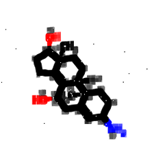 C[C@]12CC[C@H]3C(=C1CC[C@@H]2O)[C@@H](O)CC1=CC(N)CC[C@@]13C